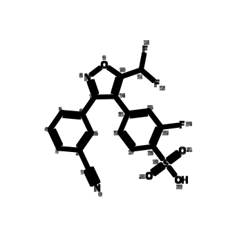 N#Cc1cccc(-c2noc(C(F)F)c2-c2ccc(S(=O)(=O)O)c(F)c2)c1